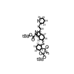 CN(C(=O)OC(C)(C)C)C(=O)c1ccccc1Sc1ccc2c(/C=C/c3ccccn3)nn(C(=O)OC(C)(C)C)c2c1